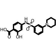 O=C(O)c1ccc(NS(=O)(=O)c2cccc(N3CCCCC3)c2)cc1O